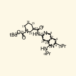 CC(C)Nc1nc(C(C)C)cc2cnc(NC(=O)[C@@H]3CCCN(C(=O)OC(C)(C)C)C3)cc12